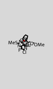 COCOCC1Oc2nc(Cl)c(F)c3nc(SC)nc(c23)N2CC3CCC(C12)N3C(=O)OC(C)(C)C